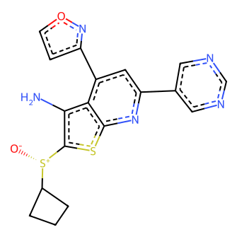 Nc1c([S@@+]([O-])C2CCC2)sc2nc(-c3cncnc3)cc(-c3ccon3)c12